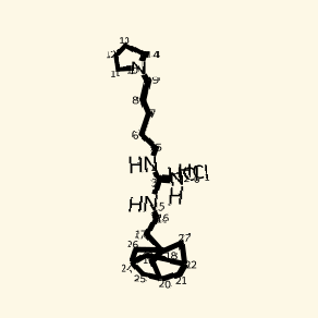 Cl.Cl.N=C(NCCCCCN1CCCC1)NCCC12CC3CC(CC(C3)C1)C2